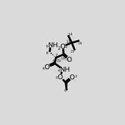 CC(=O)ONC(=O)[C@H](CN)C(=O)OC(C)(C)C